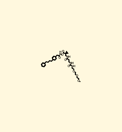 COCCOCCOCCNC(=O)NCCC(=O)NCC1(C(=O)ONC(=O)Cc2ccc(CCCCc3ccccc3)cc2)CC1